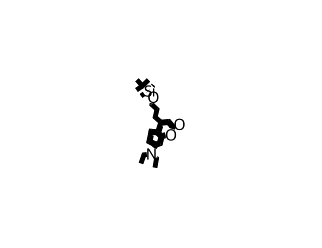 CCN(CC)c1ccc2c(CCCO[Si](C)(C)C(C)(C)C)cc(=O)oc2c1